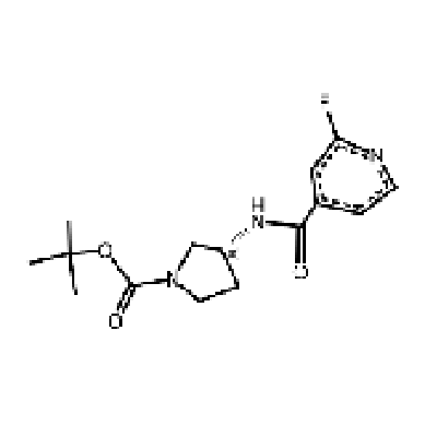 CC(C)(C)OC(=O)N1CC[C@@H](NC(=O)c2ccnc(F)c2)C1